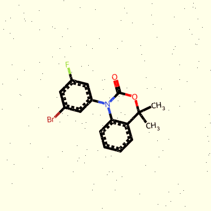 CC1(C)OC(=O)N(c2cc(F)cc(Br)c2)c2ccccc21